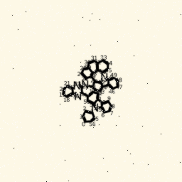 c1ccc(-n2c3ccccc3c3ccc(-c4nc5ccccc5nc4-n4c5ccc6ccc7cccc8c7c6c5c5c4ccc4c6ccccc6n8c45)cc32)cc1